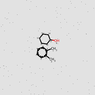 Cc1ccccc1C.OC1CCCCC1